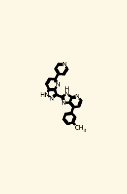 Cc1cccc(-c2ccnc3[nH]c(-c4n[nH]c5ccc(-c6ccncc6)nc45)nc23)c1